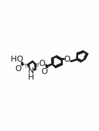 O=C(O[C@@H]1CN[C@H](C(=O)O)C1)c1ccc(OCc2ccccc2)cc1